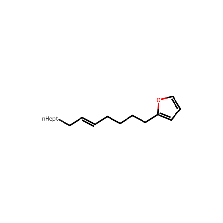 CCCCCCCCC=CCCCCc1ccco1